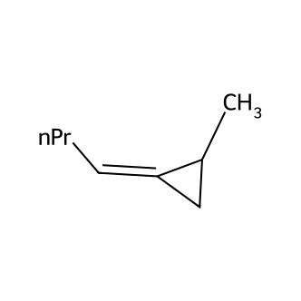 CCCC=C1CC1C